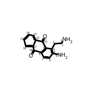 NCCc1c(N)ccc2c1C(=O)c1ccccc1C2=O